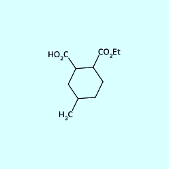 CCOC(=O)C1CCC(C)CC1C(=O)O